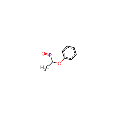 CC(Oc1ccccc1)P=O